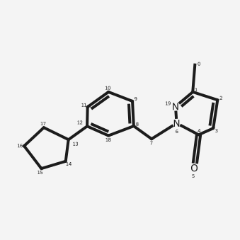 Cc1ccc(=O)n(Cc2cc[c]c(C3CCCC3)c2)n1